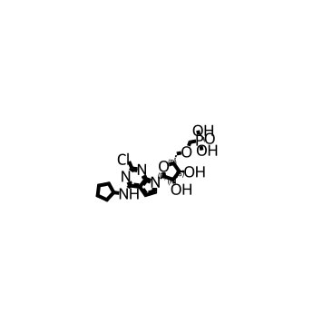 O=P(O)(O)COC[C@H]1O[C@@H](n2ccc3c(NC4CCCC4)nc(Cl)nc32)[C@H](O)[C@@H]1O